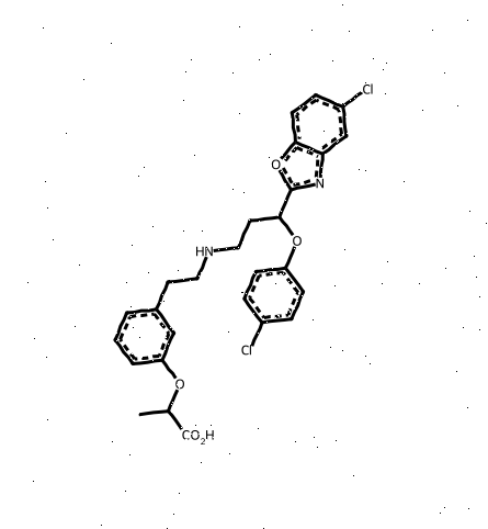 CC(Oc1cccc(CCNCCC(Oc2ccc(Cl)cc2)c2nc3cc(Cl)ccc3o2)c1)C(=O)O